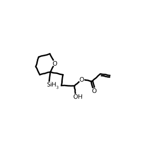 C=CC(=O)OC(O)CCC1([SiH3])CCCCO1